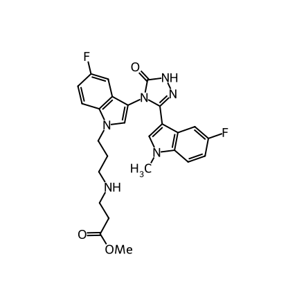 COC(=O)CCNCCCn1cc(-n2c(-c3cn(C)c4ccc(F)cc34)n[nH]c2=O)c2cc(F)ccc21